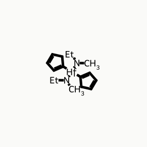 CC[N](C)[Hf]([C]1=CC=CC1)([C]1=CC=CC1)[N](C)CC